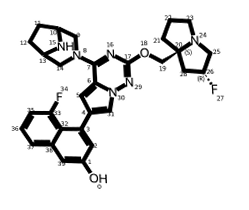 Oc1cc(-c2cc3c(N4CC5CCC(C4)N5)nc(OC[C@@]45CCCN4C[C@H](F)C5)nn3c2)c2c(F)cccc2c1